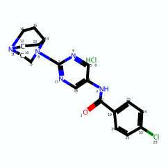 Cl.O=C(Nc1cnc(N2CCN3CCC2CC3)nc1)c1ccc(Cl)cc1